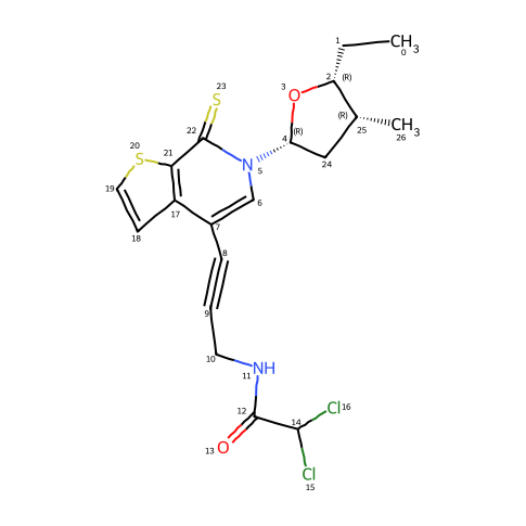 CC[C@H]1O[C@@H](n2cc(C#CCNC(=O)C(Cl)Cl)c3ccsc3c2=S)C[C@H]1C